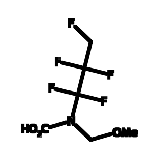 COCN(C(=O)O)C(F)(F)C(F)(F)CF